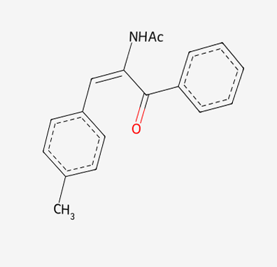 CC(=O)NC(=Cc1ccc(C)cc1)C(=O)c1ccccc1